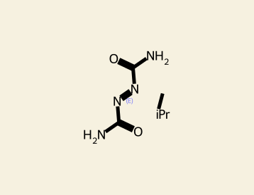 CC(C)C.NC(=O)/N=N/C(N)=O